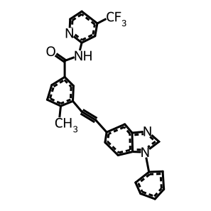 Cc1ccc(C(=O)Nc2cc(C(F)(F)F)ccn2)cc1C#Cc1ccc2c(c1)ncn2-c1ccccc1